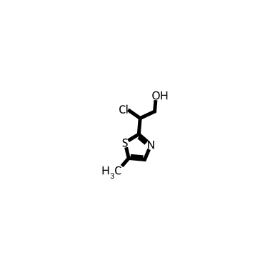 Cc1cnc(C(Cl)CO)s1